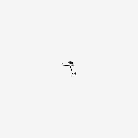 Br.CCS